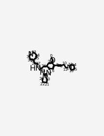 COc1cc2c(cc1C#CCCN1CCCC1)=NC(N1CCCC1)=NC(NCCC1=CCN=CC=C1)C=2